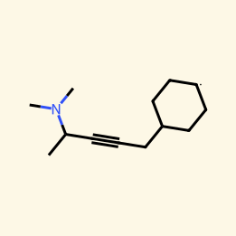 CC(C#CCC1CC[CH]CC1)N(C)C